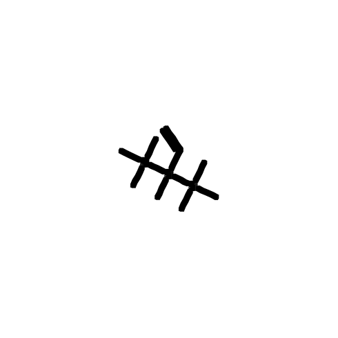 C=C[Si](C)([Si](C)(C)C)[Si](C)(C)C